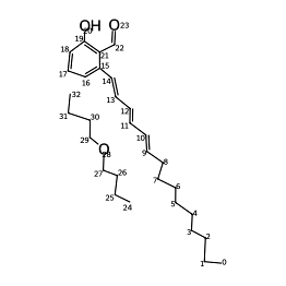 CCCCCCCCCC=CC=CC=Cc1cccc(O)c1C=O.CCCCOCCCC